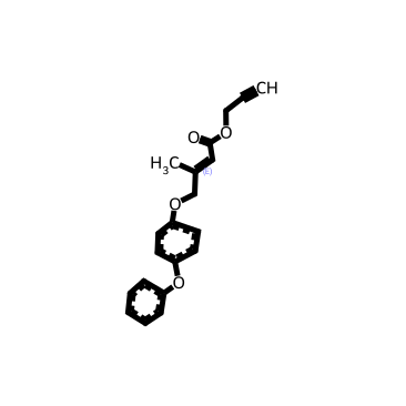 C#CCOC(=O)/C=C(\C)COc1ccc(Oc2ccccc2)cc1